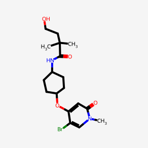 Cn1cc(Br)c(OC2CCC(NC(=O)C(C)(C)CCO)CC2)cc1=O